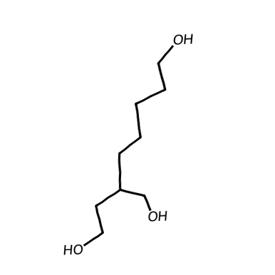 OCCCCCC(CO)CCO